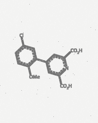 COc1ccc(Cl)cc1-c1cc(C(=O)O)nc(C(=O)O)c1